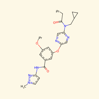 CC(C)CC(=O)N(CC1CC1)c1cnc(Oc2cc(OC(C)C)cc(C(=O)Nc3ccn(C)n3)c2)cn1